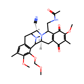 COCOc1c(OC)c(C)cc2c1C1[C@@H]3CC4=C(C(=O)C(OC)=C(C)C4=O)C(CNC(C)=O)N3[C@@H](C#N)C(C2)N1C